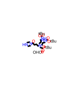 CC(C)(C)OC(=O)C[N+](CCCNC(=O)OC(C)(C)C)(CCCNC(=O)OC(C)(C)C)CCCC(=O)N1CCNCC1.O=C[O-]